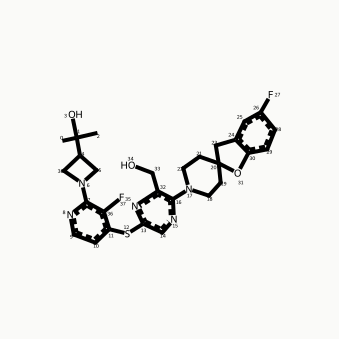 CC(C)(O)C1CN(c2nccc(Sc3cnc(N4CCC5(CC4)Cc4cc(F)ccc4O5)c(CO)n3)c2F)C1